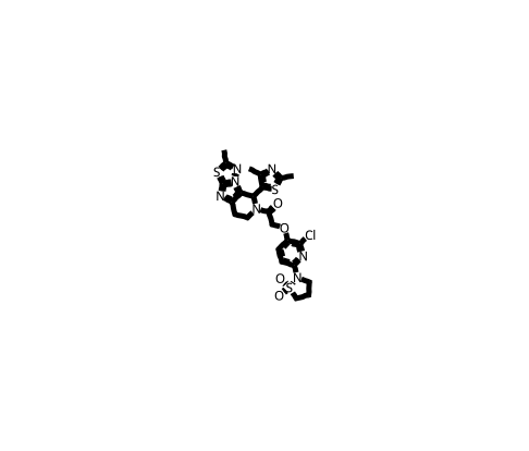 Cc1nc(C)c(C2c3c(nc4sc(C)nn34)CCN2C(=O)COc2ccc(N3CCCS3(=O)=O)nc2Cl)s1